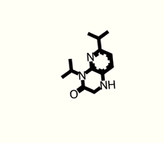 CC(C)c1ccc2c(n1)N(C(C)C)C(=O)CN2